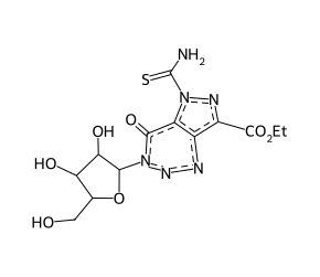 CCOC(=O)c1nn(C(N)=S)c2c(=O)n(C3OC(CO)C(O)C3O)nnc12